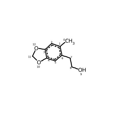 Cc1cc2c(cc1CCO)OCO2